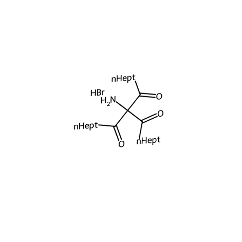 Br.CCCCCCCC(=O)C(N)(C(=O)CCCCCCC)C(=O)CCCCCCC